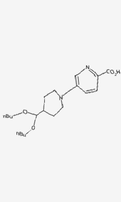 CCCCOC(OCCCC)C1CCN(c2ccc(C(=O)O)nc2)CC1